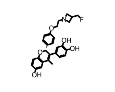 CC1=C(c2ccc(O)c(O)c2)[C@@H](c2ccc(OCCN3CC(CF)C3)cc2)Oc2ccc(O)cc21